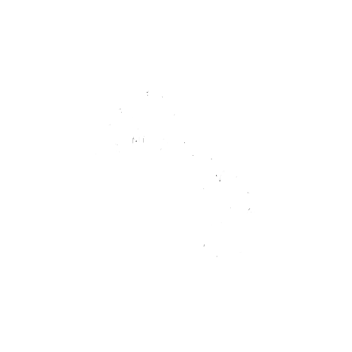 CC(=O)C1(c2ccccc2)CCN(CCCOc2cccc3c2NC(=O)CC3)CC1